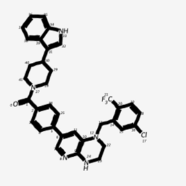 O=C(c1ccc(-c2cnc3c(c2)N(Cc2cc(Cl)ccc2C(F)(F)F)CCN3)cc1)N1CCC(c2c[nH]c3ccccc23)CC1